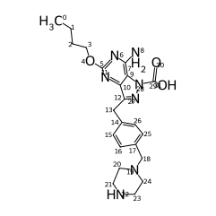 CCCCOc1nc(N)c2c(n1)c(Cc1ccc(CN3CCNCC3)cc1)nn2C(=O)O